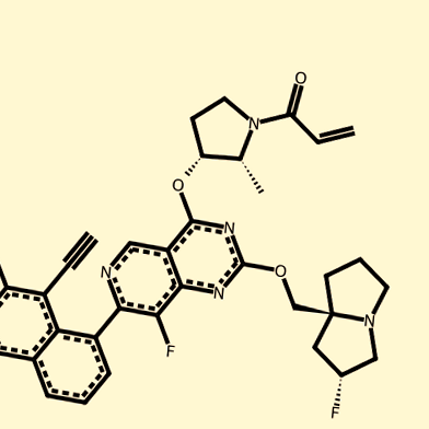 C#Cc1c(F)ccc2cccc(-c3ncc4c(O[C@@H]5CCN(C(=O)C=C)[C@@H]5C)nc(OC[C@@]56CCCN5C[C@H](F)C6)nc4c3F)c12